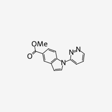 COC(=O)c1ccc2c(ccn2-c2cccnn2)c1